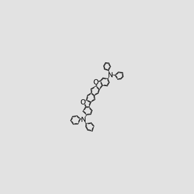 c1ccc(N(c2ccccc2)c2ccc3c(c2)oc2cc4cc5oc6cc(N(c7ccccc7)c7ccccc7)ccc6c5cc4cc23)cc1